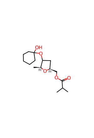 CC(C)C(=O)OC[C@@H]1CC(OC2(O)CCCCC2)[C@H](C)O1